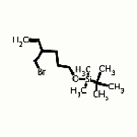 C=CC(CBr)CCCO[Si](C)(C)C(C)(C)C